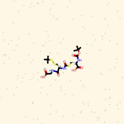 CC(C)(C)OC(=O)N[C@@H](CSC(=O)N[C@@H](CSSC(C)(C)C)C(=O)NCC(=O)O)C(=O)O